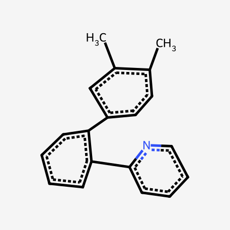 Cc1ccc(-c2ccccc2-c2ccccn2)cc1C